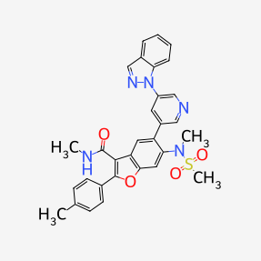 CNC(=O)c1c(-c2ccc(C)cc2)oc2cc(N(C)S(C)(=O)=O)c(-c3cncc(-n4ncc5ccccc54)c3)cc12